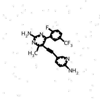 Cc1nc(N)nc(-c2cc(C(F)(F)F)ccc2F)c1C#Cc1ccc(N)nc1